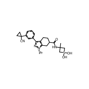 CC(C)n1nc(-c2cccc(C3(C#N)CC3)c2)c2c1CC(C(=O)NC1(C)CS(O)(O)C1)CC2